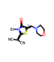 CCn1c(=C(C#N)C#N)s/c(=C\N2CCOCC2)c1=O